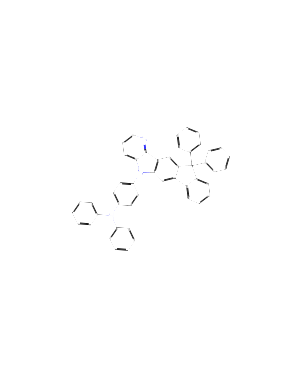 c1ccc(N(c2ccccc2)c2ccc(-n3c4cc5c(cc4c4ncccc43)C(c3ccccc3)(c3ccccc3)c3ccccc3-5)cc2)cc1